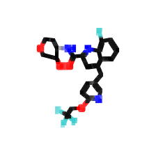 O=C(N[C@H]1CCOC[C@@H]1O)c1cc(Cc2ccc(OCC(F)(F)F)nc2)c2cccc(F)c2n1